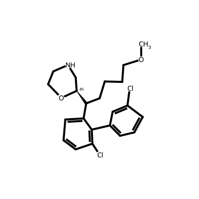 COCCCCC(c1cccc(Cl)c1-c1cccc(Cl)c1)[C@@H]1CNCCO1